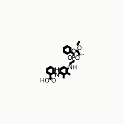 CCOC(=O)[C@H](C)OP(=O)(CCNc1ccc(Nc2ccccc2C(=O)O)c(C)c1C)Cc1ccccc1